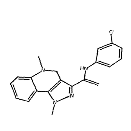 C=C(Nc1cccc(Cl)c1)c1nn(C)c2c1CN(C)c1ccccc1-2